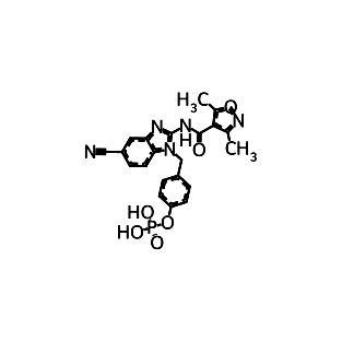 Cc1noc(C)c1C(=O)Nc1nc2cc(C#N)ccc2n1Cc1ccc(OP(=O)(O)O)cc1